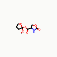 COC1(OC(=O)C2COC(=O)N2)CCCO1